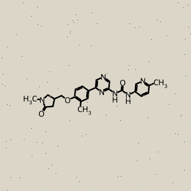 Cc1ccc(NC(=O)Nc2cncc(-c3ccc(OCC4CC(=O)N(C)C4)c(C)c3)n2)cn1